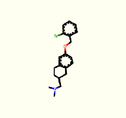 CN(C)CC1CCc2cc(OCc3ccccc3Br)ccc2C1